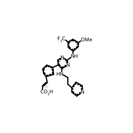 COc1cc(Nc2ncc(-c3cccc(/C=C/C(=O)O)c3)c(NCCc3ccncc3)n2)cc(C(F)(F)F)c1